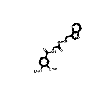 COc1ccc(C(=O)NCC(=O)NNCc2csc3cccnc23)cc1OC